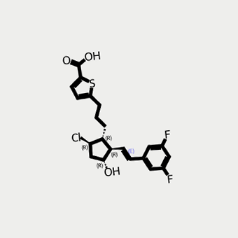 O=C(O)c1ccc(CCC[C@@H]2[C@@H](/C=C/c3cc(F)cc(F)c3)[C@H](O)C[C@H]2Cl)s1